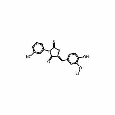 CCOc1cc(/C=C2\SC(=S)N(c3cccc(C#N)c3)C2=O)ccc1O